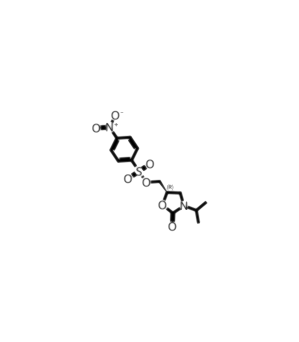 CC(C)N1C[C@H](COS(=O)(=O)c2ccc([N+](=O)[O-])cc2)OC1=O